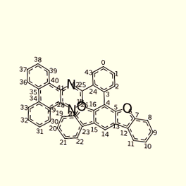 c1ccc(-c2c3oc4ccccc4c3cc3c2oc2ccccc23)c(-c2cnc3c4ccccc4c4ccccc4c3n2)c1